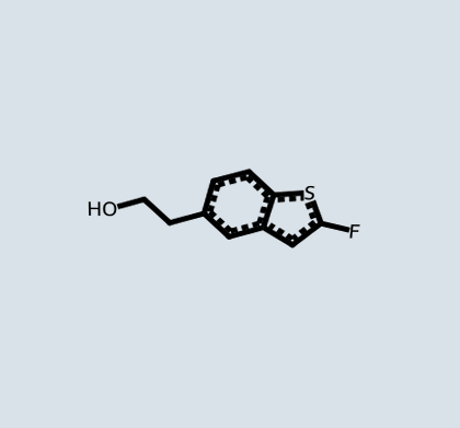 OCCc1ccc2sc(F)cc2c1